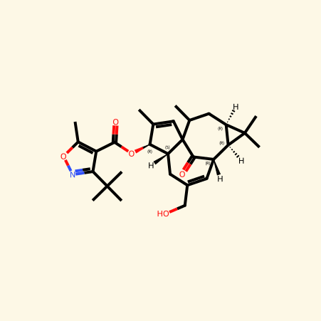 CC1=CC23C(=O)[C@@H](C=C(CO)C[C@@H]2[C@H]1OC(=O)c1c(C(C)(C)C)noc1C)[C@H]1[C@@H](CC3C)C1(C)C